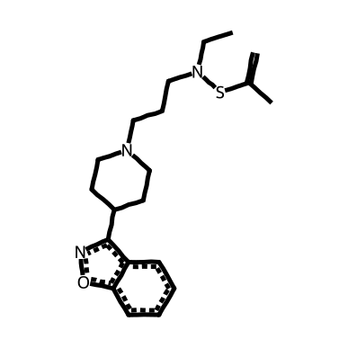 C=C(C)SN(CC)CCCN1CCC(c2noc3ccccc23)CC1